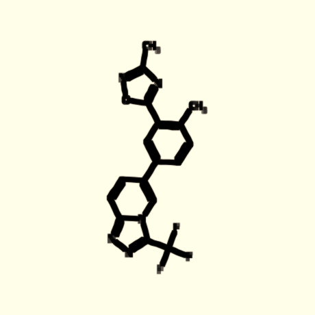 Cc1noc(-c2cc(-c3ccc4nnc(C(F)(F)F)n4c3)ccc2C)n1